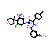 CC1CCC(C(NC(=O)c2cccc(N)c2)C(=O)Nc2cc(N)c(C3(C)CCOCC3)c(F)c2)CC1